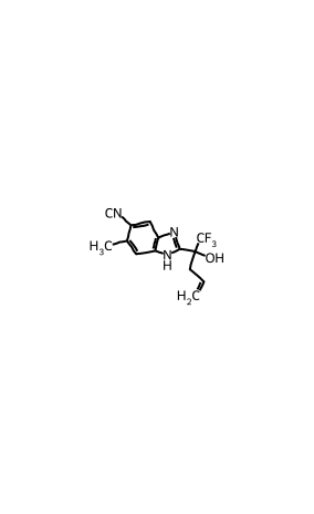 [C-]#[N+]c1cc2nc(C(O)(CC=C)C(F)(F)F)[nH]c2cc1C